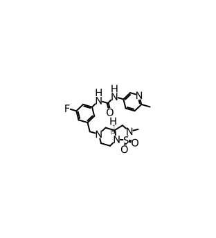 Cc1ccc(NC(=O)Nc2cc(F)cc(CN3CCN4[C@@H](C3)CN(C)S4(=O)=O)c2)cn1